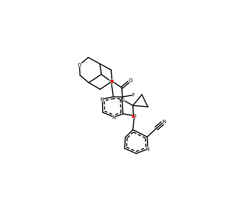 CC1(OC(=O)N2CC3COCC(C2)C3Oc2ncnc(Oc3cccnc3C#N)c2F)CC1